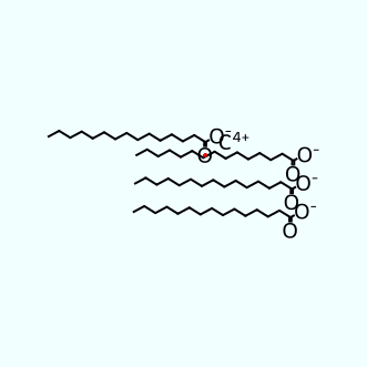 CCCCCCCCCCCCCCC(=O)[O-].CCCCCCCCCCCCCCC(=O)[O-].CCCCCCCCCCCCCCC(=O)[O-].CCCCCCCCCCCCCCC(=O)[O-].[C+4]